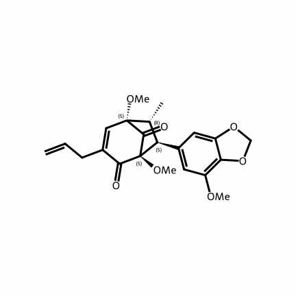 C=CCC1=C[C@]2(OC)C(=O)[C@@](OC)(C1=O)[C@H](c1cc(OC)c3c(c1)OCO3)[C@H]2C